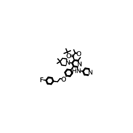 CC(=O)[C@@H](OC(C)(C)C)c1c(C)nc(Nc2ccncc2)c(-c2ccc(OCCc3ccc(F)cc3)cc2)c1N1CCC(C)(C)CC1